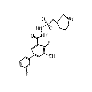 Cc1cc(-c2cccc(F)c2)cc(C(=O)NNS(=O)(=O)CC2CCCNC2)c1F